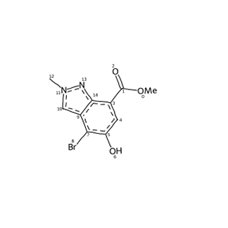 COC(=O)c1cc(O)c(Br)c2cn(C)nc12